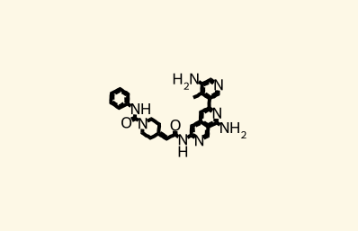 Cc1c(N)cncc1-c1cc2cc(NC(=O)C=C3CCN(C(=O)Nc4ccccc4)CC3)ncc2c(N)n1